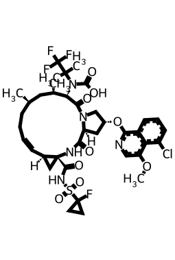 COc1cnc(O[C@@H]2C[C@H]3C(=O)N[C@]4(C(=O)NS(=O)(=O)C5(F)CC5)C[C@H]4C=CCC[C@@H](C)C[C@@H](C)[C@H](N(C(=O)O)C(C)(C)C(F)(F)F)C(=O)N3C2)c2cccc(Cl)c12